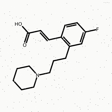 O=C(O)C=Cc1ccc(F)cc1CCCN1CCCCC1